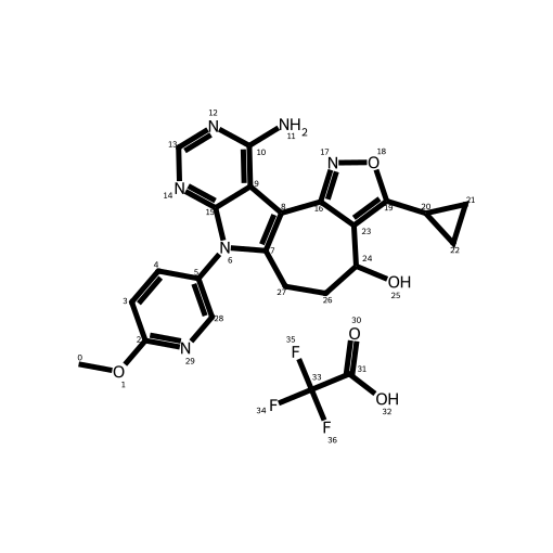 COc1ccc(-n2c3c(c4c(N)ncnc42)-c2noc(C4CC4)c2C(O)CC3)cn1.O=C(O)C(F)(F)F